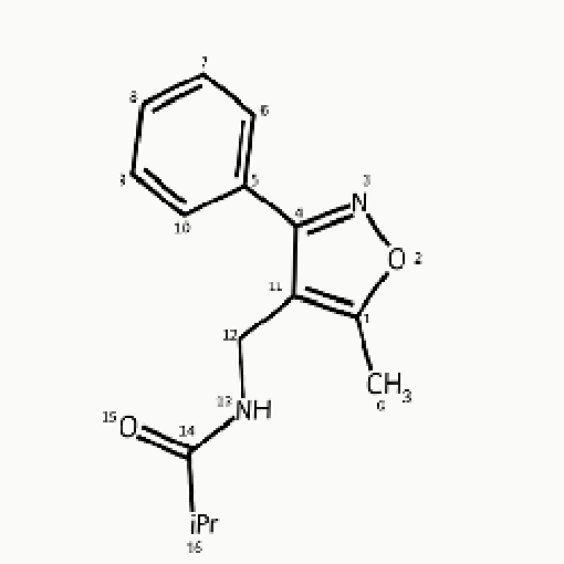 Cc1onc(-c2ccccc2)c1CNC(=O)C(C)C